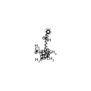 CC(=O)OC[C@H]1O[C@@H](OCCCCCNC(=O)OCc2ccccc2)[C@H](OC(C)=O)[C@@H](OC(C)=O)[C@@H]1OC(C)=O